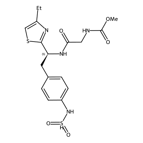 CCc1csc([C@H](Cc2ccc(N[SH](=O)=O)cc2)NC(=O)CNC(=O)OC)n1